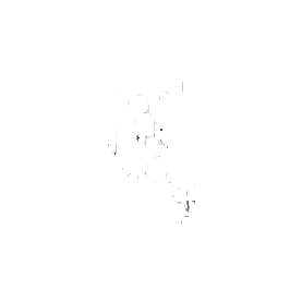 COc1cc(Br)cc2cnc(Nc3cc(O[C@H]4CCNC4)cc(-c4cnn(C)c4)c3)nc12